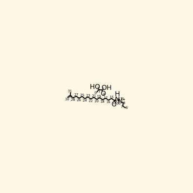 CC(O)C(=O)O.CCC[N+](C)(C)NC(=O)CCCCCCCCCCCCCCC(C)C